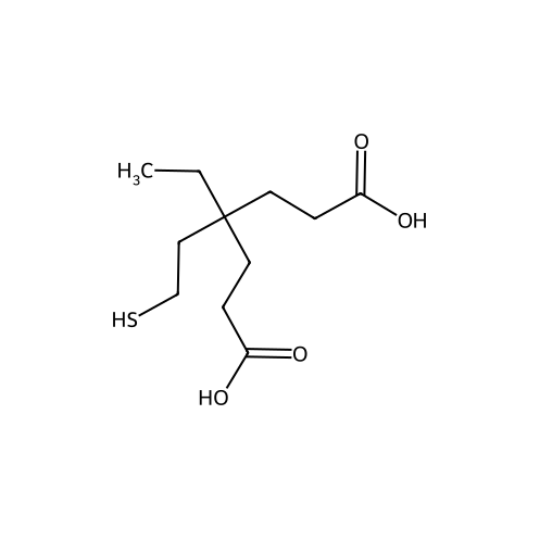 CCC(CCS)(CCC(=O)O)CCC(=O)O